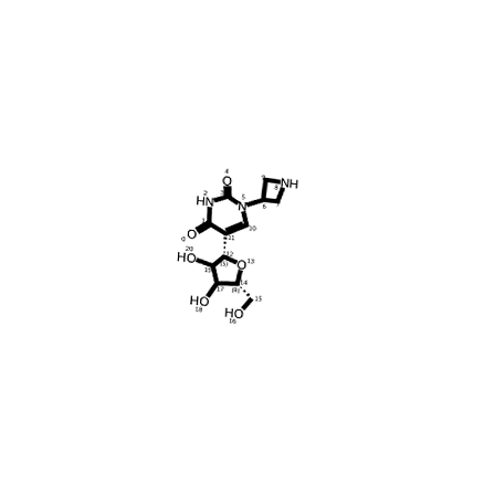 O=c1[nH]c(=O)n(C2CNC2)cc1[C@@H]1O[C@H](CO)C(O)C1O